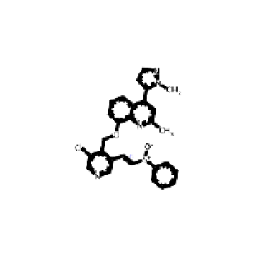 Cc1cc(-c2ccnn2C)c2cccc(OCc3c(Cl)cncc3/C=C/[S+]([O-])c3ccccc3)c2n1